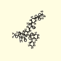 CC(C)(C)OC(=O)N[C@@H]1C(=O)N2[C@@H](C(=O)OC(c3ccccc3)c3ccccc3)C(/C=C3\CCN(c4ccc(OC(=O)OC(C)(C)C)cc4)C3=O)=CS[C@H]12